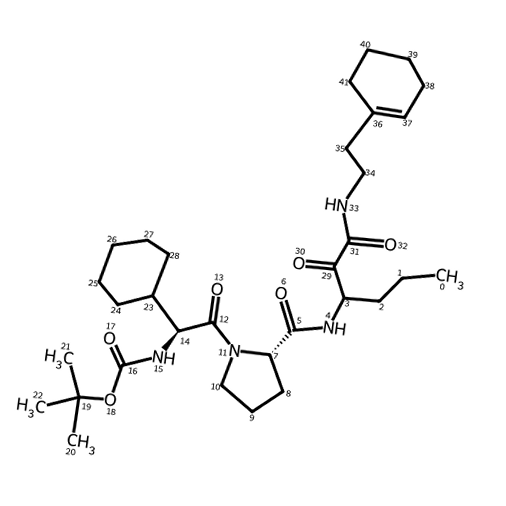 CCCC(NC(=O)[C@@H]1CCCN1C(=O)[C@@H](NC(=O)OC(C)(C)C)C1CCCCC1)C(=O)C(=O)NCCC1=CCCCC1